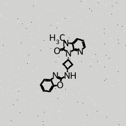 Cn1c(=O)n([C@H]2C[C@H](Nc3nc4ccccc4o3)C2)c2ncccc21